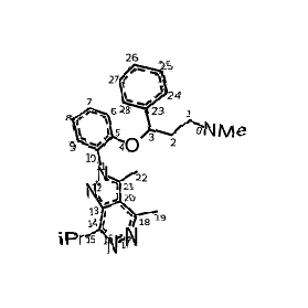 CNCCC(Oc1ccccc1-n1nc2c(C(C)C)nnc(C)c2c1C)c1ccccc1